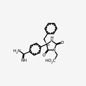 N=C(N)c1ccc([C@]2(Cc3ccccc3)NC(=O)N(CC(=O)O)C2=O)cc1